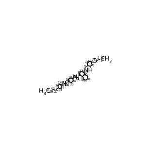 CCCCOc1ccc(CNc2ccc(N=Nc3ccc(N=Nc4ccc(CCCC)cc4)cc3)c3ccccc23)cc1